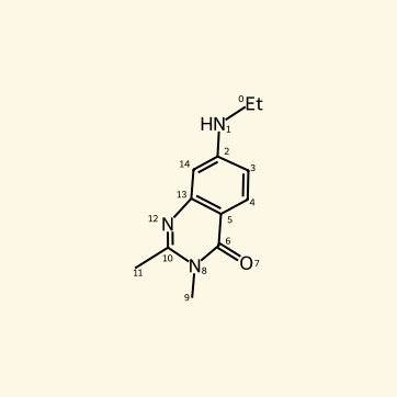 CCNc1ccc2c(=O)n(C)c(C)nc2c1